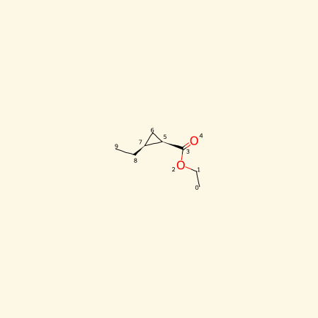 CCOC(=O)[C@@H]1C[C@@H]1CC